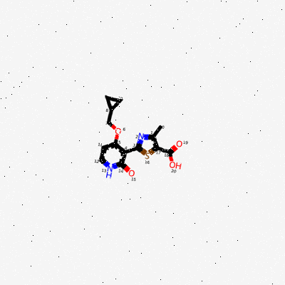 Cc1nc(-c2c(OCC3CC3)cc[nH]c2=O)sc1C(=O)O